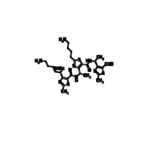 CC(=O)NC(CCCCN)c1nc(C)sc1C(=O)NC(C)c1nc(CCCCN)sc1C(=O)NC(C)c1nc(C)sc1C=O